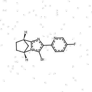 Fc1ccc(-c2nc3n(c2Br)[C@@H]2CC[C@H]3C2)nc1